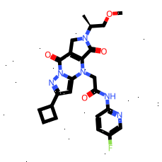 COC[C@H](C)N1Cc2c(n(CC(=O)Nc3ccc(F)cn3)c3cc(C4CCC4)nn3c2=O)C1=O